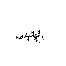 CSCC(=O)NCCNC(=O)OC(C)(C)C